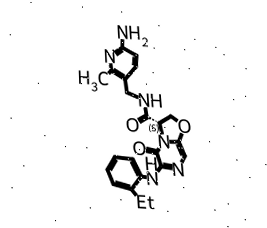 CCc1ccccc1Nc1ncc2n(c1=O)[C@H](C(=O)NCc1ccc(N)nc1C)CO2